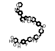 Cn1c(CN2CCC(c3ccc(C(=O)N4CCC(CN5CCC(N6CCC(c7ccc(NC8CCC(=O)NC8=O)cc7F)CC6)C(F)(F)C5)CC4)cc3)CC2)cc2c(-c3ccc4c(cnn4C4CCCCO4)c3)ccnc21